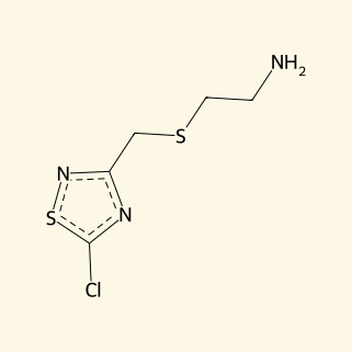 NCCSCc1nsc(Cl)n1